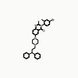 Cc1cc(Br)ccc1-n1c(C)nc2ccc(N3CCN(CCC(c4ccccc4)c4ccccc4)CC3)cc2c1=O